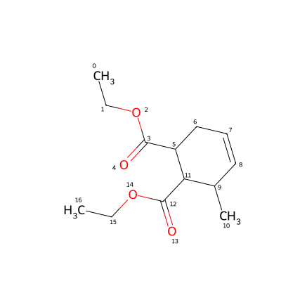 CCOC(=O)C1CC=CC(C)C1C(=O)OCC